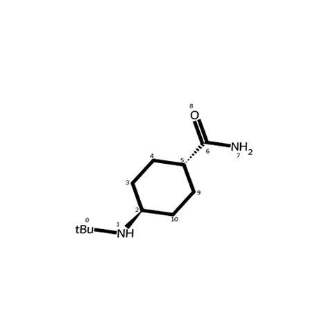 CC(C)(C)N[C@H]1CC[C@H](C(N)=O)CC1